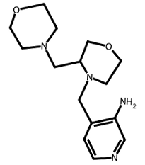 Nc1cnccc1CN1CCOCC1CN1CCOCC1